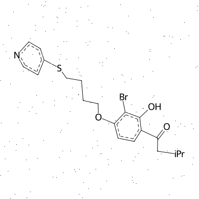 CC(C)CC(=O)c1ccc(OCCCCSc2ccncc2)c(Br)c1O